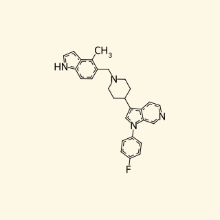 Cc1c(CN2CCC(c3cn(-c4ccc(F)cc4)c4cnccc34)CC2)ccc2[nH]ccc12